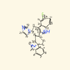 CN(C)C1(c2ccccc2)CCC(c2[nH]c3ccc(F)cc3c2CCn2ccnc2)CC1